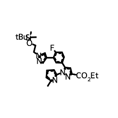 CCOC(=O)c1cc(-c2ccc(F)c(-c3cnn(CCO[Si](C)(C)C(C)(C)C)c3)c2)n(-c2cccc(C)n2)n1